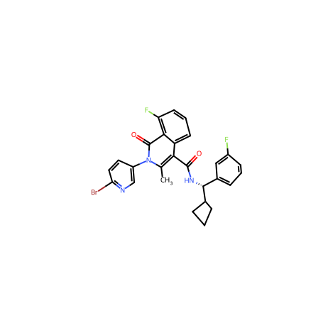 Cc1c(C(=O)N[C@H](c2cccc(F)c2)C2CCC2)c2cccc(F)c2c(=O)n1-c1ccc(Br)nc1